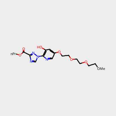 CCCOC(=O)c1ncn(-c2ncc(OCCOCCOCCOC)cc2O)n1